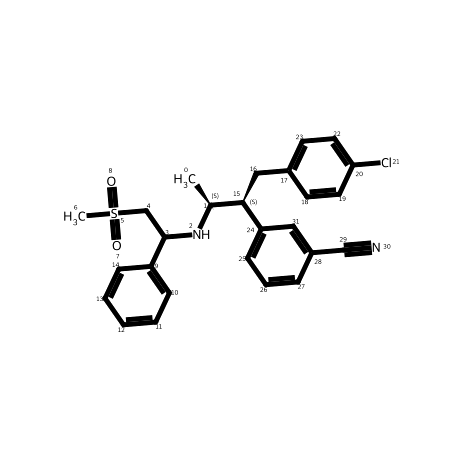 C[C@H](NC(CS(C)(=O)=O)c1ccccc1)[C@@H](Cc1ccc(Cl)cc1)c1cccc(C#N)c1